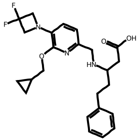 O=C(O)CC(CCc1ccccc1)NCc1ccc(N2CC(F)(F)C2)c(OCC2CC2)n1